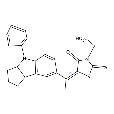 C/C(=C1\SC(=S)N(CC(=O)O)C1=O)c1ccc2c(c1)C1CCCC1N2c1ccccc1